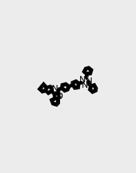 c1ccc(-c2nc(-c3ccccc3)nc(-c3ccc(-c4ccc(-c5nc6cc7ccccc7cc6c6c5oc5ccccc56)cc4)cc3)n2)cc1